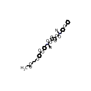 C=CC(=O)OCCCCOc1ccc(C(=O)Oc2ccc(/C=C(\C#N)C(=O)O[C@@H]3COC4C3OC[C@H]4OC(=O)/C(C#N)=C/c3ccc(OCc4ccccc4)cc3)cc2)cc1